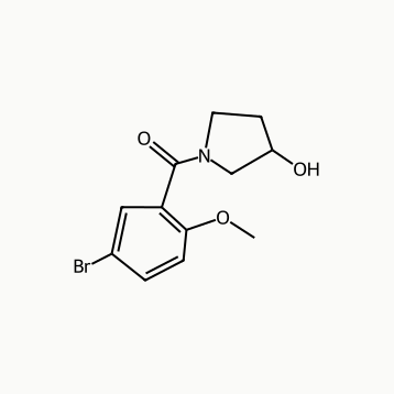 COc1ccc(Br)cc1C(=O)N1CCC(O)C1